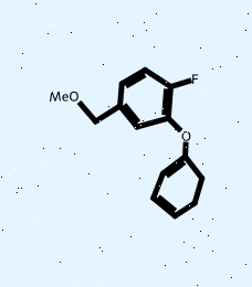 COCc1ccc(F)c(OC2=CC=CCC2)c1